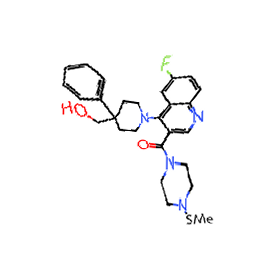 CSN1CCN(C(=O)c2cnc3ccc(F)cc3c2N2CCC(CO)(c3ccccc3)CC2)CC1